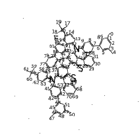 Cc1cc(C)cc(C2=CC=C(N(c3ccc(C(C)(C)C)cc3)c3cc4c(c5sc6ccccc6c35)-c3c(cc(N(c5ccc(-c6cc(C)cc(C)c6)cc5)c5ccc(C(C)(C)C)cc5)c5c3sc3ccccc35)C43c4ccccc4-c4cc(F)ccc43)CC2)c1